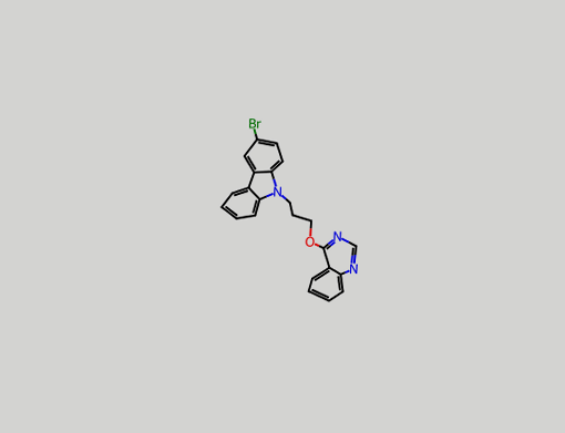 Brc1ccc2c(c1)c1ccccc1n2CCCOc1ncnc2ccccc12